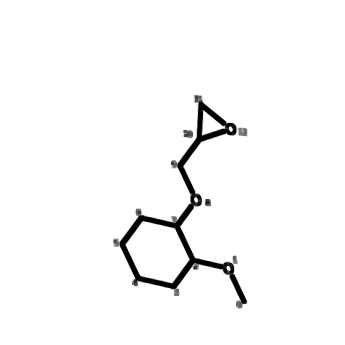 COC1CCCCC1OCC1CO1